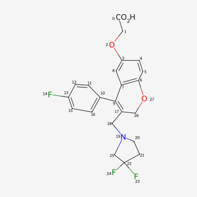 O=C(O)COc1ccc2c(c1)C(c1ccc(F)cc1)=C(CN1CCC(F)(F)C1)CO2